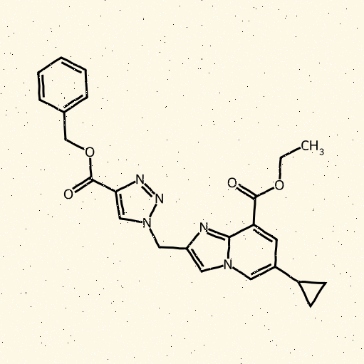 CCOC(=O)c1cc(C2CC2)cn2cc(Cn3cc(C(=O)OCc4ccccc4)nn3)nc12